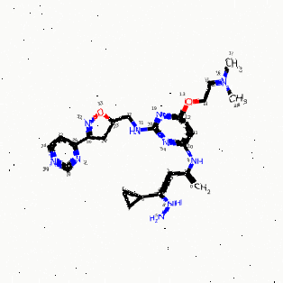 C=C(/C=C(\NN)C1CC1)Nc1cc(OCCN(C)C)nc(NCC2CC(c3ccncn3)=NO2)n1